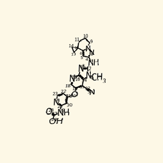 Cn1c(Nc2cc3n(n2)CCCC32CC2)nc2ncc(Oc3ccnc(NC(=O)O)c3)c(C#N)c21